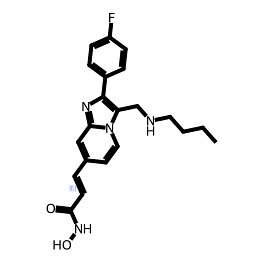 CCCCNCc1c(-c2ccc(F)cc2)nc2cc(/C=C/C(=O)NO)ccn12